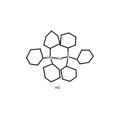 C1CCC([PH]([Pd][PH](C2CCCCC2)(C2CCCCC2)C2CCCCC2)(C2CCCCC2)C2CCCCC2)CC1.Cl